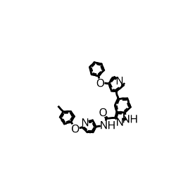 Cc1ccc(Oc2ccc(NC(=O)c3n[nH]c4ccc(-c5cncc(Oc6ccccc6)c5)cc34)cn2)cc1